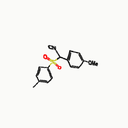 [C-]#[N+]C(c1ccc(OC)cc1)S(=O)(=O)c1ccc(C)cc1